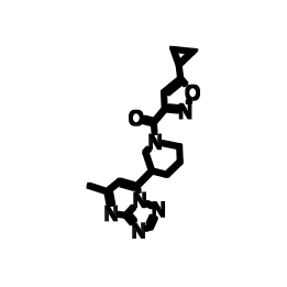 Cc1cc(C2CCCN(C(=O)c3cc(C4CC4)on3)C2)n2ncnc2n1